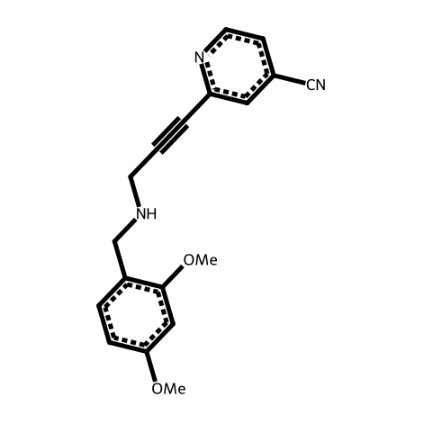 COc1ccc(CNCC#Cc2cc(C#N)ccn2)c(OC)c1